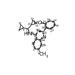 Cc1ccc2c(NC(C3CC3)C3CC3)nc(-c3ccccc3O)nc2c1